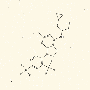 CCC(CC1CC1)Nc1nc(C)nc2c1CCN2c1ccc(C(F)(F)F)cc1C(F)(F)F